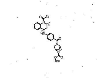 CCC(=O)N1c2ccccc2[C@H](Nc2ccc(C(=O)N3CC4CC3CN4C(=O)OC(C)(C)C)cc2)C[C@@H]1C